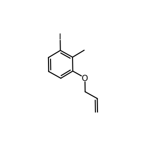 C=CCOc1cccc(I)c1C